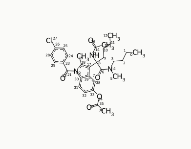 CCCCN(C)C(=O)C(CCCC)(NC(C)=O)c1c(C)n(C(=O)c2ccc(Cl)cc2)c2ccc(OC(C)=O)cc12